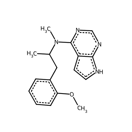 COc1ccccc1CC(C)N(C)c1ncnc2[nH]ccc12